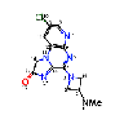 CNC1CN(C2=Nc3ncc(Cl)cc3N3CC(=O)N=C23)C1